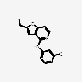 CCc1cc2c(Nc3cccc(Cl)c3)nccc2o1